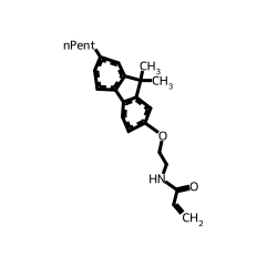 C=CC(=O)NCCOc1ccc2c(c1)C(C)(C)c1cc(CCCCC)ccc1-2